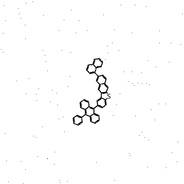 c1ccc(-c2c3ccccc3c(-c3ccc4sc5cc6ccc(-c7cccc8ccccc78)cc6cc5c4c3)c3ccccc23)cc1